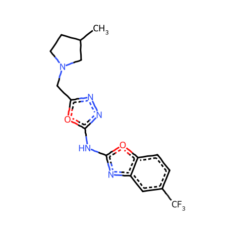 CC1CCN(Cc2nnc(Nc3nc4cc(C(F)(F)F)ccc4o3)o2)C1